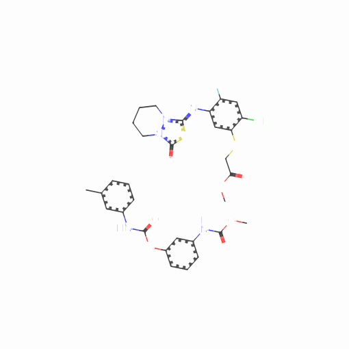 COC(=O)CSc1cc(/N=c2\sc(=O)n3n2CCCC3)c(F)cc1Cl.COC(=O)Nc1cccc(OC(=O)Nc2cccc(C)c2)c1